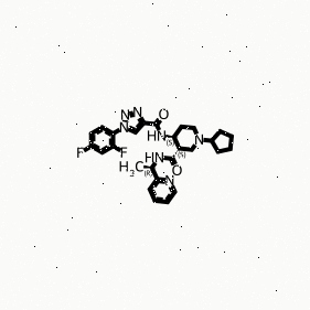 C[C@@H](NC(=O)[C@H]1CN(C2CCCC2)CC[C@@H]1NC(=O)c1cn(-c2ccc(F)cc2F)nn1)c1ccccn1